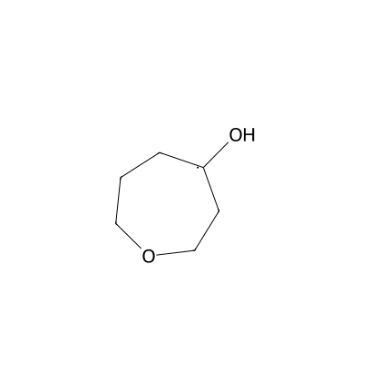 O[C]1CCCOCC1